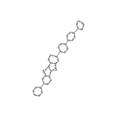 c1ccc(-c2ccc(-c3ccc(-c4ccc5c(c4)sc4c6ccc(-c7ccccc7)cc6sc54)cc3)cc2)cc1